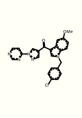 COc1ccc2c(c1)c(C(=O)c1cnn(-c3ccncn3)c1)cn2Cc1ccc(Cl)cc1